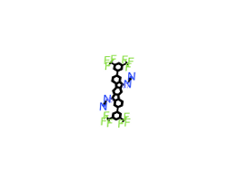 N#C/N=c1\c2cc(-c3cc(C(F)(F)F)cc(C(F)(F)F)c3)ccc2c2cc3/c(=N/C#N)c4cc(-c5cc(C(F)(F)F)cc(C(F)(F)F)c5)ccc4c3cc12